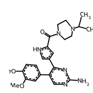 COc1ccc(-c2cnc(N)nc2-c2c[nH]c(C(=O)N3CCN(C(C)C=O)CC3)c2)cc1OC